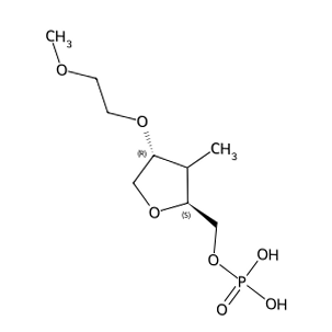 COCCO[C@H]1CO[C@H](COP(=O)(O)O)C1C